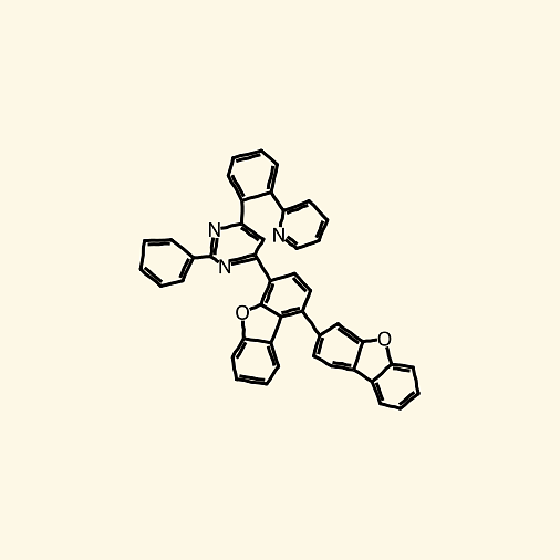 c1ccc(-c2nc(-c3ccccc3-c3ccccn3)cc(-c3ccc(-c4ccc5c(c4)oc4ccccc45)c4c3oc3ccccc34)n2)cc1